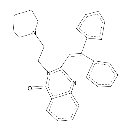 O=c1c2ccccc2nc(C=C(c2ccccc2)c2ccccc2)n1CCN1CCCCC1